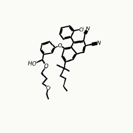 CCCCC(C)(C)c1cc(Oc2cccc(C(O)OCCCOCC)c2)c2c(-c3ccccc3Cl)c(C#N)c(C#N)cc2c1